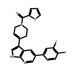 O=C(c1cccs1)N1CC=C(c2c[nH]c3ncc(-c4ccc(F)c(F)c4)cc23)CC1